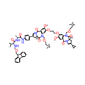 COc1cc2c(cc1OCCCOc1cc3c(cc1OC)C(=O)N1C=C(C4CC4)C[C@H]1C(=O)N3COCC[Si](C)(C)C)N(COCC[Si](C)(C)C)C(=O)[C@@H]1CC(c3ccc(NC(=O)[C@H](C)NC(=O)[C@@H](NCOCC4c5ccccc5-c5ccccc54)C(C)C)cc3)=CN1C2=O